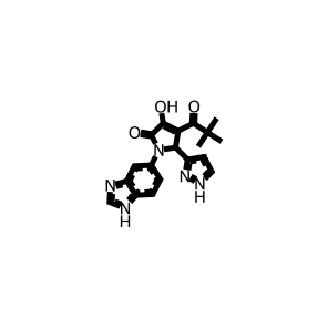 CC(C)(C)C(=O)C1=C(O)C(=O)N(c2ccc3[nH]cnc3c2)C1c1cc[nH]n1